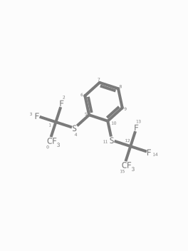 FC(F)(F)C(F)(F)Sc1ccccc1SC(F)(F)C(F)(F)F